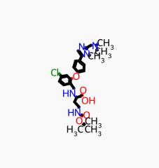 CN(C)Cc1ncc(-c2ccc(Oc3cc(Cl)ccc3CNC(CCNC(=O)OC(C)(C)C)C(=O)O)cc2)n1C